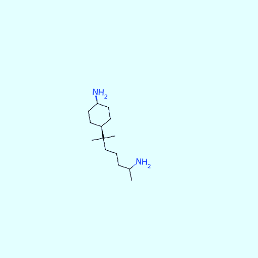 CC(N)CCCC(C)(C)[C@H]1CC[C@@H](N)CC1